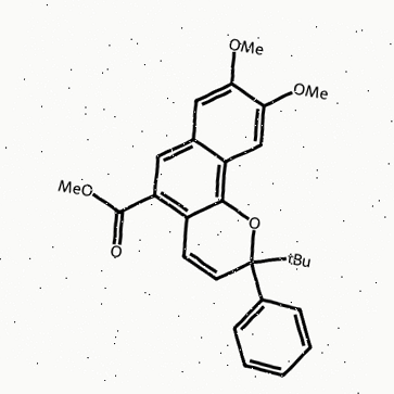 COC(=O)c1cc2cc(OC)c(OC)cc2c2c1C=CC(c1ccccc1)(C(C)(C)C)O2